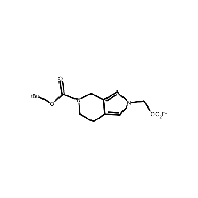 CCOC(=O)Cn1cc2c(c1)CN(C(=O)OC(C)(C)C)CC2